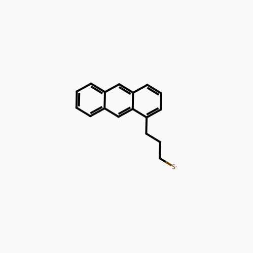 [S]CCCc1cccc2cc3ccccc3cc12